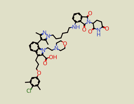 Cc1cc(OCCCc2c(C(=O)O)n(CCN3CCOCC3)c3c(-c4c(C)nn(CCCCCCNc5cccc6c5C(=O)N(C5CCC(=O)NC5=O)C6=O)c4C)cccc23)cc(C)c1Cl